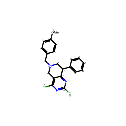 COc1ccc(CN2Cc3c(Cl)nc(Cl)nc3C(c3ccccc3)C2)cc1